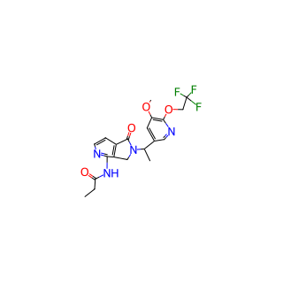 CCC(=O)Nc1nccc2c1CN(C(C)c1cnc(OCC(F)(F)F)c(OC)c1)C2=O